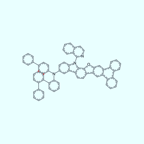 c1ccc(-c2ccc(N(c3ccc4c(c3)c3ccc5c6cc7c8ccccc8c8ccccc8c7cc6oc5c3n4-c3nccc4ccccc34)c3ccccc3-c3ccccc3-c3ccccc3)cc2)cc1